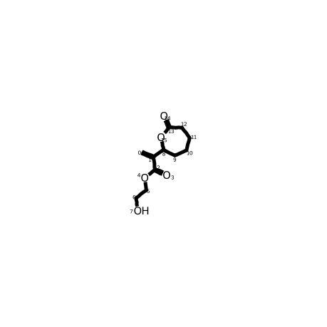 C=C(C(=O)OCCO)C1CCCCC(=O)O1